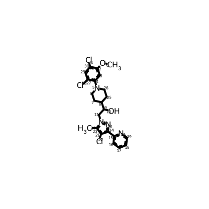 COc1cc(N2CCC(C(O)Cn3nc(-c4ccccn4)c(Cl)c3C)CC2)c(Cl)cc1Cl